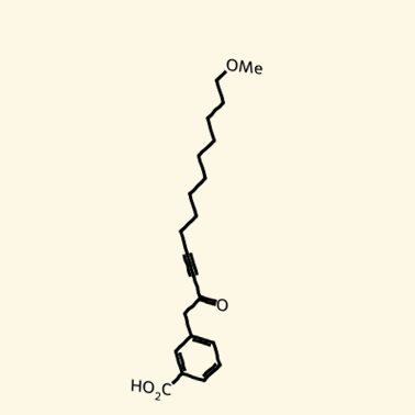 COCCCCCCCCCC#CC(=O)Cc1cccc(C(=O)O)c1